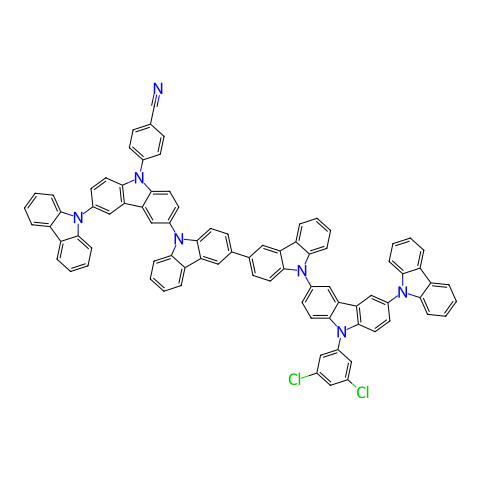 N#Cc1ccc(-n2c3ccc(-n4c5ccccc5c5ccccc54)cc3c3cc(-n4c5ccccc5c5cc(-c6ccc7c(c6)c6ccccc6n7-c6ccc7c(c6)c6cc(-n8c9ccccc9c9ccccc98)ccc6n7-c6cc(Cl)cc(Cl)c6)ccc54)ccc32)cc1